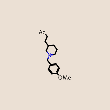 COc1ccc(CN2CCCC(CCC(C)=O)C2)cc1